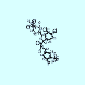 C[C@@H]1CN(CCC(C)(C(=O)N(C)Cc2ccc(F)c(C(F)(F)F)c2)c2ccc(Cl)c(Cl)c2)CCN1S(C)(=O)=O